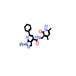 Cc1cc(C)c(CNC(=O)c2cc(C3=CCCCC3)nc3c2cnn3C(C)C)c(=O)[nH]1